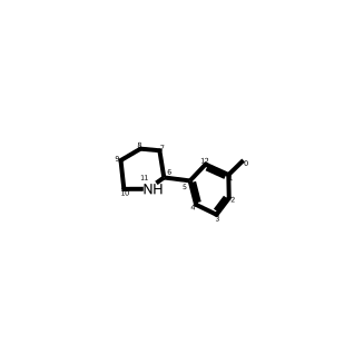 Cc1cccc(C2CCCCN2)c1